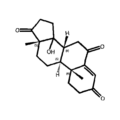 C[C@]12CCC(=O)C=C1C(=O)C[C@@H]1[C@@H]2CC[C@]2(C)C(=O)CCC12O